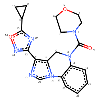 O=C(N1CCOCC1)N1Cc2c(-c3noc(C4CC4)n3)ncn2-c2ccccc21